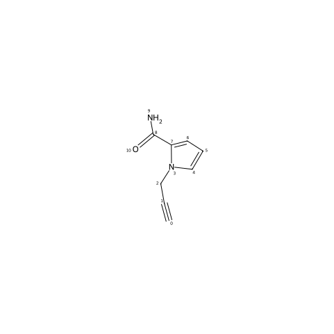 C#CCn1cccc1C(N)=O